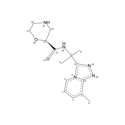 Cc1cccn2c(C(C)(C)NC(=O)[C@@H]3CNCCO3)nnc12